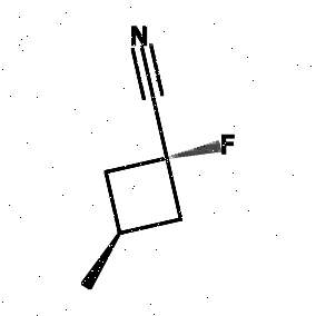 C[C@H]1C[C@@](F)(C#N)C1